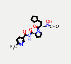 O=CN(O)C[C@@H](CC1CCCC1)C(=O)N1CCC[C@@H]1C(=O)NC(=O)c1ccc(C(F)(F)F)nc1